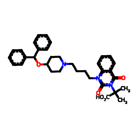 CC(C)(C(=O)O)n1c(=O)c2ccccc2n(CCCCN2CCC(OC(c3ccccc3)c3ccccc3)CC2)c1=O